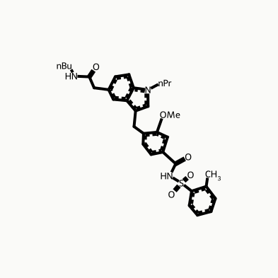 CCCCNC(=O)Cc1ccc2c(c1)c(Cc1ccc(C(=O)NS(=O)(=O)c3ccccc3C)cc1OC)cn2CCC